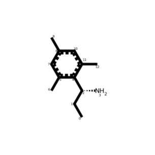 CC[C@@H](N)c1c(C)cc(C)cc1C